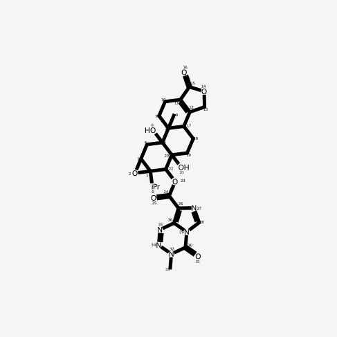 CC(C)C12OC1CC1(O)C3(C)CCC4=C(COC4=O)C3CCC1(O)C2OC(=O)c1ncn2c(=O)n(C)nnc12